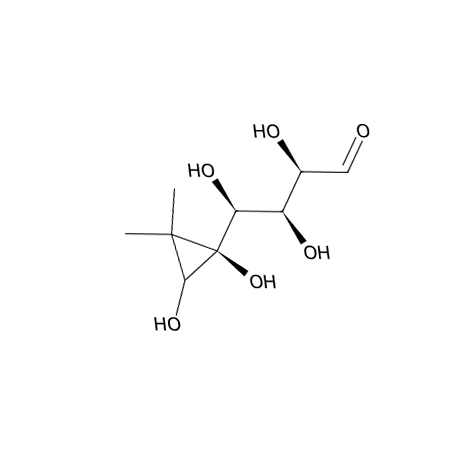 CC1(C)C(O)[C@@]1(O)[C@@H](O)[C@H](O)[C@@H](O)C=O